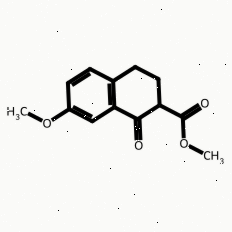 COC(=O)C1CCc2ccc(OC)cc2C1=O